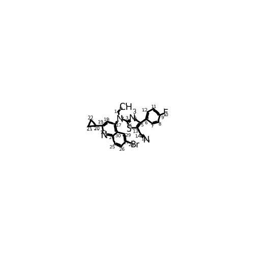 CCN(c1nc(-c2ccc(F)cc2)c(C#N)s1)c1cc(C2CC2)nc2ccc(Br)cc12